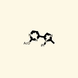 CC(=O)Oc1nccc(-c2cnc(C)n2C(C)C)n1